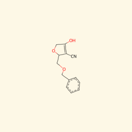 N#CC1=C(O)COC1COCc1ccccc1